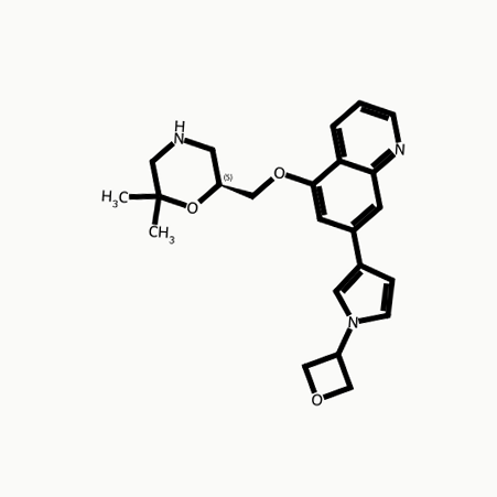 CC1(C)CNC[C@@H](COc2cc(-c3ccn(C4COC4)c3)cc3ncccc23)O1